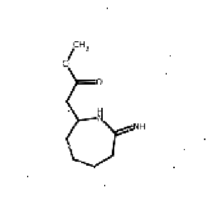 COC(=O)CC1CCCCC(=N)N1